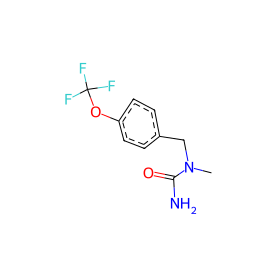 CN(Cc1ccc(OC(F)(F)F)cc1)C(N)=O